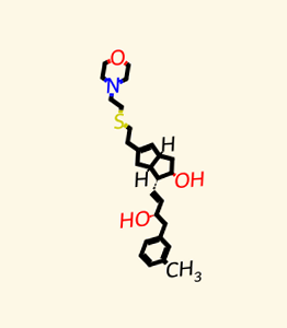 Cc1cccc(C[C@H](O)/C=C/[C@@H]2[C@H]3CC(CCSCCN4CCOCC4)=C[C@H]3C[C@H]2O)c1